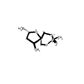 B[C@H]1CC(C)[C@]2(COP(C)(=S)SC2)O1